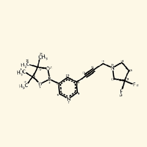 CC1(C)OB(c2cncc(C#CCN3CCC(F)(F)C3)c2)OC1(C)C